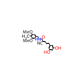 COc1cc(CNC(=O)/C(C#N)=C/C=C/c2cc(O)cc(O)c2)cc(OC)c1C